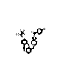 N#Cc1ccccc1Oc1ccccc1CN1CCC2(CC1)CN(C(=O)c1ccc(Cl)cc1)C2.O=C(O)C(F)(F)F